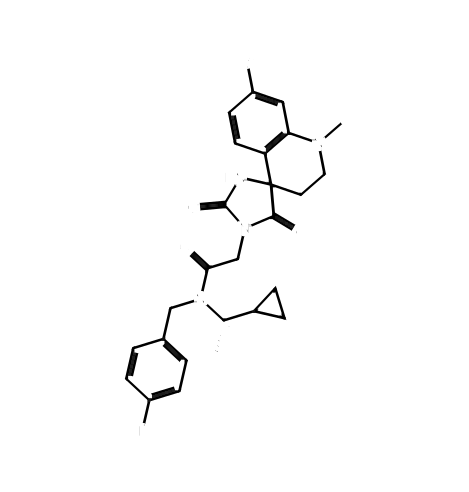 C[C@@H](C1CC1)N(Cc1ccc(F)cc1)C(=O)CN1C(=O)NC2(CCN(C)c3cc(Br)ccc32)C1=O